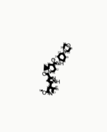 COc1cc(-c2cc(C(=O)N3CC[C@H](C(=O)N[C@H]4CC[C@H](N5CCOCC5)CC4)CC34CC4)n[nH]2)c(F)cn1